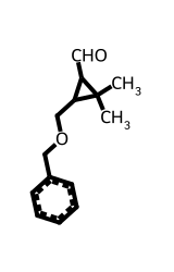 CC1(C)C(C=O)C1COCc1ccccc1